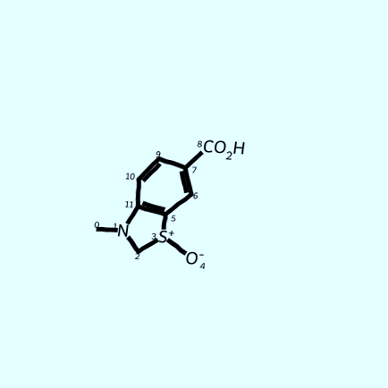 CN1C[S+]([O-])c2cc(C(=O)O)ccc21